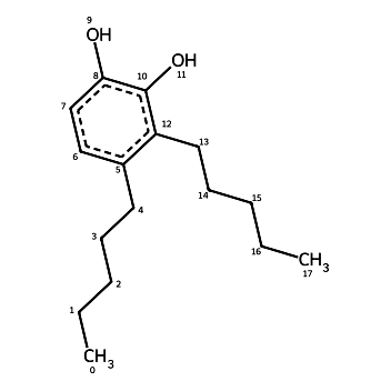 CCCCCc1ccc(O)c(O)c1CCCCC